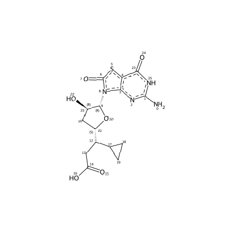 Nc1nc2c(sc(=O)n2[C@@H]2O[C@H](C(CC(=O)O)C3CC3)C[C@H]2O)c(=O)[nH]1